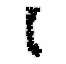 CC(C)(C(=O)Nc1ccc(C#N)c(C(F)(F)F)c1)n1cc(N2CC(N3CCN(C4CN(c5ccc6c(c5)C(=O)N(C5CCC(=O)NC5=O)C6=O)C4)CC3)C2)cn1